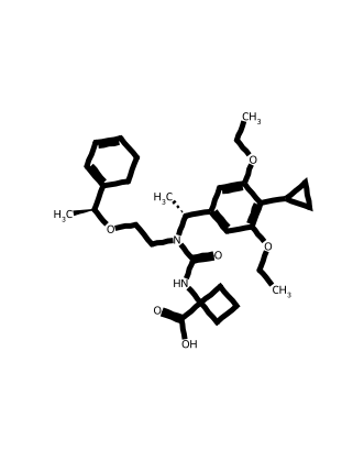 CCOc1cc([C@@H](C)N(CCO[C@@H](C)C2=CC=CCC2)C(=O)NC2(C(=O)O)CCC2)cc(OCC)c1C1CC1